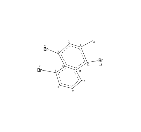 Cc1cc(Br)c2c(Br)cccc2c1Br